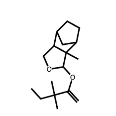 C=C(OC1OCC2C3CCC(C3)C12C)C(C)(C)CC